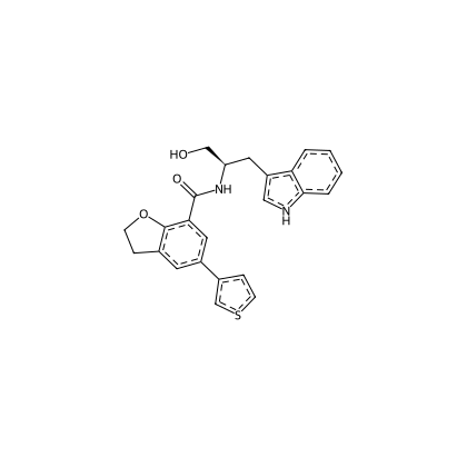 O=C(N[C@@H](CO)Cc1c[nH]c2ccccc12)c1cc(-c2ccsc2)cc2c1OCC2